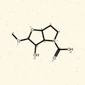 COC1OC2CCN(C(=O)O)C2C1O